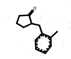 Cc1ccccc1CC1CCCC1=O